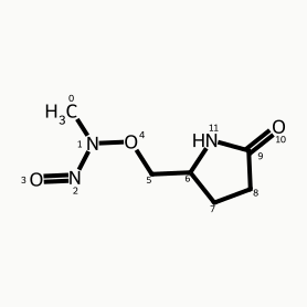 CN(N=O)OCC1CCC(=O)N1